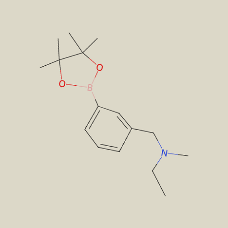 CCN(C)Cc1cccc(B2OC(C)(C)C(C)(C)O2)c1